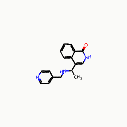 CC(NCc1ccncc1)c1c[nH]c(=O)c2ccccc12